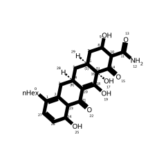 CCCCCCC1=C2C[C@H]3C[C@H]4CC(O)C(C(N)=O)C(=O)[C@@]4(O)C(O)=C3C(=O)C2C(O)C=C1